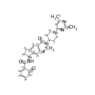 Cc1cc(N2CCC(N(C)C(=O)c3cc4c(cc3F)[C@H](NC(=O)c3ccccc3Cl)CC4)CC2)nc(C)n1